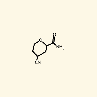 N#C[C]1CCOC(C(N)=O)C1